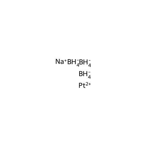 [BH4-].[BH4-].[BH4-].[Na+].[Pt+2]